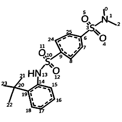 CN(C)S(=O)(=O)c1ccc(S(=O)(=O)Nc2ccccc2C(C)(C)C)cc1